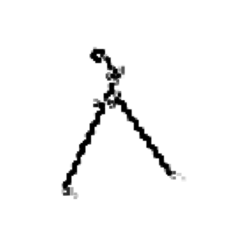 CCCCCCCCC=CCCCCCCCC(=O)OCC(COS(=O)(=O)NCCN1CCCC1)OC(=O)CCCCCCCC=CCCCCCCCC